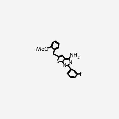 COc1ccccc1Cc1cc2c(N)nc(-c3cccc(F)c3)nc2s1